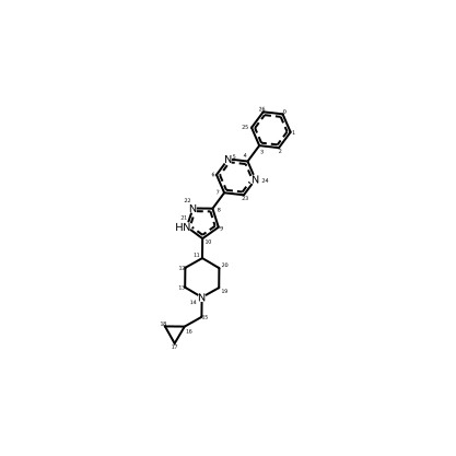 c1ccc(-c2ncc(-c3cc(C4CCN(CC5CC5)CC4)[nH]n3)cn2)cc1